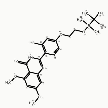 COc1cc(OC)c2c(=O)[nH]c(-c3ncc(OCCO[Si](C)(C)C(C)(C)C)cc3F)nc2c1